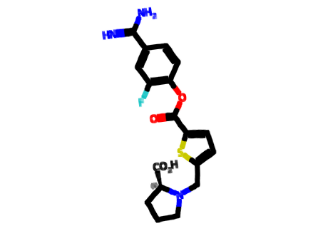 N=C(N)c1ccc(OC(=O)c2ccc(CN3CCC[C@H]3C(=O)O)s2)c(F)c1